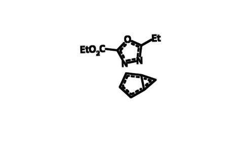 CCOC(=O)c1nnc(CC)o1.c1cc2cc-2c1